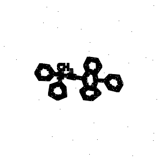 C[Si](C#Cc1c2ccccc2c(-c2ccccc2)c2ccccc12)(c1ccccc1)c1ccccc1